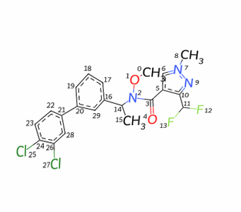 CON(C(=O)c1cn(C)nc1C(F)F)C(C)c1cccc(-c2ccc(Cl)c(Cl)c2)c1